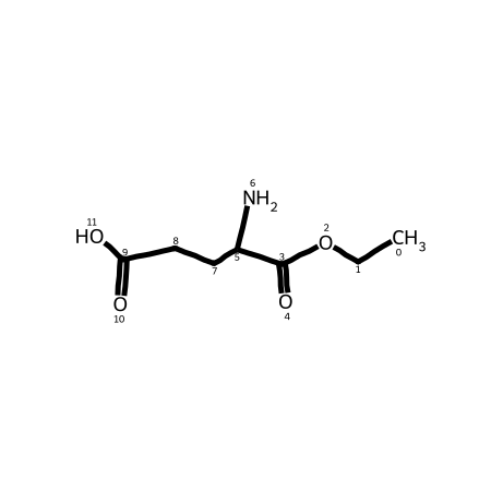 CCOC(=O)C(N)CCC(=O)O